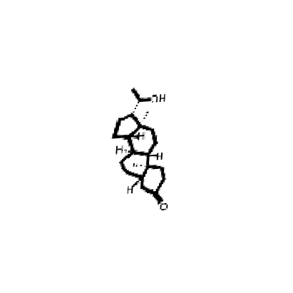 CC(O)[C@H]1CC[C@H]2[C@@H]3CC[C@H]4CC(=O)CC[C@]4(C)[C@H]3CC[C@]12C